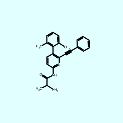 Cc1cccc(C)c1-c1ccc(NC(=O)C(C)N)nc1C#Cc1ccccc1